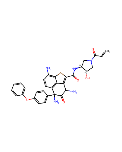 C=CC(=O)N1C[C@H](NC(=O)c2sc3c(N)ccc4c3c2C(N)C(=O)C4(N)c2ccc(Oc3ccccc3)cc2)[C@@H](O)C1